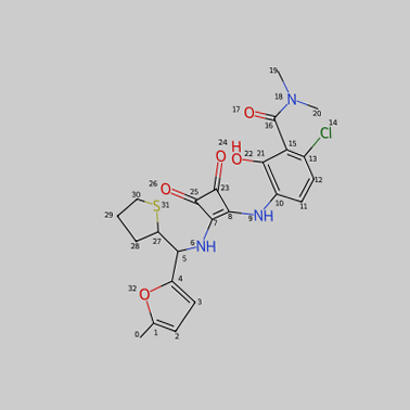 Cc1ccc(C(Nc2c(Nc3ccc(Cl)c(C(=O)N(C)C)c3O)c(=O)c2=O)C2CCCS2)o1